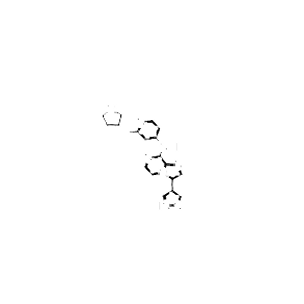 c1cc(Nc2nccn3c(-c4cn[nH]c4)cnc23)cc(O[C@@H]2CCNC2)n1